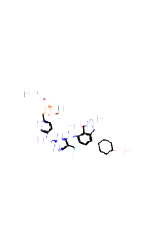 CCOP(=O)(Cc1ccc(Nc2ncc(CF)c(Nc3ccc([C@H]4CC[C@H](O)CC4)c4c3C(=O)N(C)C4)n2)cn1)OCC